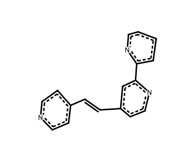 C(=Cc1ccnc(-c2ccccn2)c1)c1ccncc1